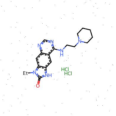 CCn1c(=O)[nH]c2cc3c(NCCN4CCCCC4)ncnc3cc21.Cl.Cl